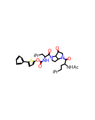 CC(=O)NC(CCC(C)C)C(=O)N1CC(=O)C2C1CCN2C(=O)C(CC(C)C)NC(=O)Oc1ccc(-c2ccccc2)s1